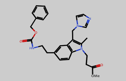 COC(=O)CCn1c(C)c(Cn2ccnc2)c2cc(CCNC(=O)OCc3ccccc3)ccc21